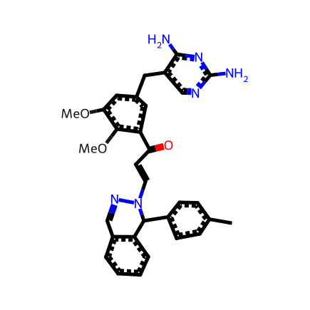 COc1cc(Cc2cnc(N)nc2N)cc(C(=O)/C=C/N2N=Cc3ccccc3C2c2ccc(C)cc2)c1OC